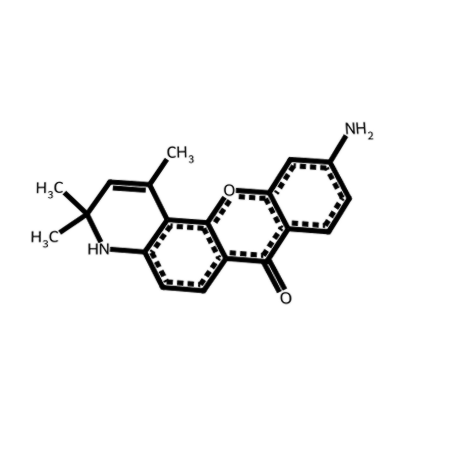 CC1=CC(C)(C)Nc2ccc3c(=O)c4ccc(N)cc4oc3c21